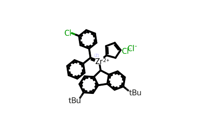 CC(C)(C)c1ccc2c(c1)-c1cc(C(C)(C)C)ccc1[CH]2/[Zr+2]([C]1=CC=CC1)=[C](\c1ccccc1)c1cccc(Cl)c1.[Cl-].[Cl-]